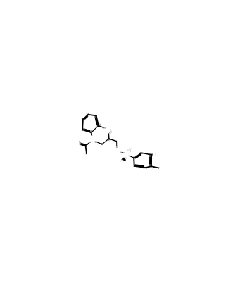 CC(=O)N1CC(COS(=O)(=O)c2ccc(C)cc2)Oc2ccccc21